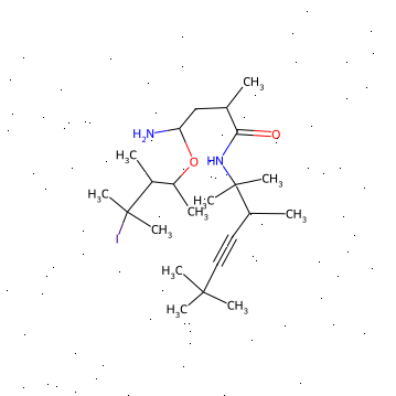 CC(CC(N)OC(C)C(C)C(C)(C)I)C(=O)NC(C)(C)C(C)C#CC(C)(C)C